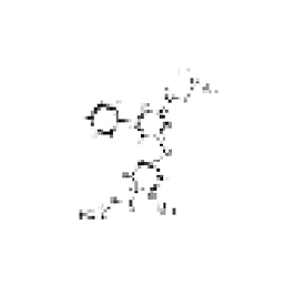 CCC(CC)COc1cc(Sc2ccc(OCC(=O)O)c(C)c2)cc(-c2ccccc2)c1